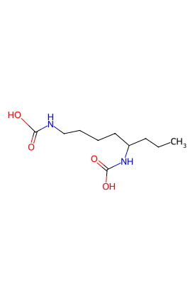 CCCC(CCCCNC(=O)O)NC(=O)O